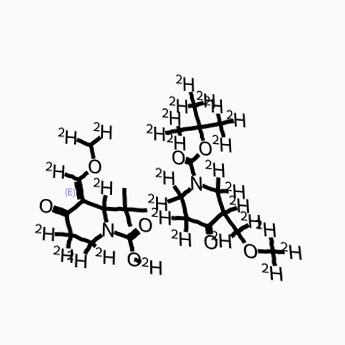 [2H]C([2H])([2H])OC([2H])([2H])C1([2H])C(=O)C([2H])([2H])C([2H])([2H])N(C(=O)OC(C([2H])([2H])[2H])(C([2H])([2H])[2H])C([2H])([2H])[2H])C1([2H])[2H].[2H]OC(=O)N1C([2H])([2H])C([2H])([2H])C(=O)/C(=C(\[2H])OC([2H])[2H])C1([2H])C(C)(C)C